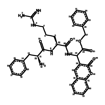 N=C(N)NCCC[C@H](NC(=O)[C@@H](N)Cc1ccccc1)C(=O)NC(C(=O)OCc1ccccc1)c1cc2ccccc2oc1=O